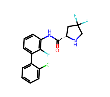 O=C(Nc1cccc(-c2ccccc2Cl)c1F)[C@@H]1CC(F)(F)CN1